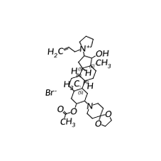 C=CC[N+]1(C2C[C@H]3[C@@H]4CCC5CC(OC(C)=O)C(N6CCC7(CC6)OCCO7)C[C@]5(C)[C@@H]4CC[C@]3(C)C2O)CCCC1.[Br-]